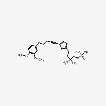 COc1ccc(OCCC#Cc2ccc(CCC(C)(N)COP(=O)(O)O)s2)cc1OC